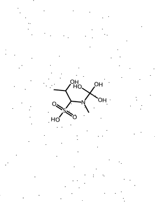 CC(O)C(N(C)C(O)(O)O)S(=O)(=O)O